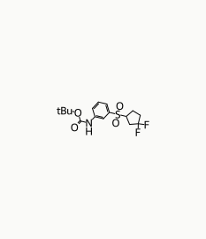 CC(C)(C)OC(=O)Nc1cccc(S(=O)(=O)C2CCC(F)(F)C2)c1